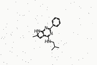 Cc1cc2c(NCC(C)C)nc(-c3ccccc3)nc2[nH]1